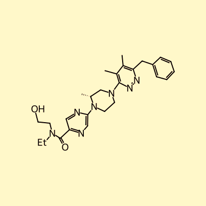 CCN(CCO)C(=O)c1cnc(N2CCN(c3nnc(Cc4ccccc4)c(C)c3C)C[C@H]2C)cn1